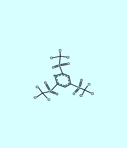 O=S(=O)(c1cc(S(=O)(=O)C(Cl)(Cl)Cl)nc(S(=O)(=O)C(Cl)(Cl)Cl)c1)C(Cl)(Cl)Cl